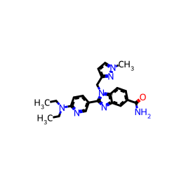 CCN(CC)c1ccc(-c2nc3cc(C(N)=O)ccc3n2Cc2ccn(C)n2)cn1